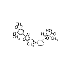 COc1ccc(-c2nc(CO[C@H]3CCC[C@@H](COC(C)(C)C(=O)O)C3)c(C)o2)cc1OC